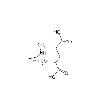 CNC.NC(CCC(=O)O)C(=O)O